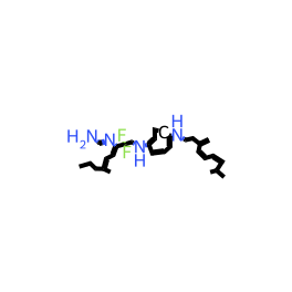 C=C(/C=C\C=C/C(C)C)CCN/C1=C/C=C\C(NCC(F)(F)C(=C/C=C(\C)CCC)/N=C/N)=C\CC1